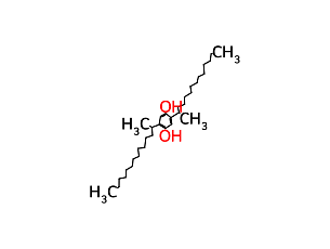 CCCCCCCCCCCCC(C)c1cc(O)c(C(C)CCCCCCCCCCCC)cc1O